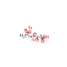 C=C(CCOC(=O)C(O)CC(=O)O)C(=O)O